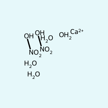 O.O.O.O.O=[N+]([O-])O.O=[N+]([O-])O.[Ca+2]